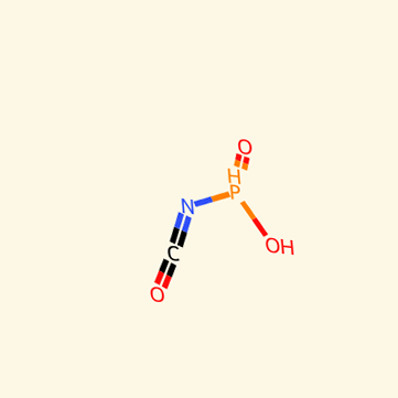 O=C=N[PH](=O)O